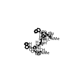 CN[C@@H](C)C(=O)N[C@H](C(=O)N1C[C@@H](NC(=O)c2cc(C(=O)N[C@H]3C[C@@H](C(=O)N[C@@H]4CCCc5ccccc54)N(C(=O)[C@@H](NC(=O)[C@H](C)NC)C(C)(C)C)C3)[nH]n2)C[C@H]1C(=O)N[C@@H]1CCCc2ccccc21)C(C)(C)C